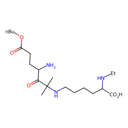 CCCCOC(=O)CCC(N)C(=O)C(C)(C)NCCCCC(NCC)C(=O)O